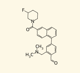 CN(C)Cc1cc(-c2cccc3cc(C(=O)N4CCCC(F)C4)ccc23)ccc1C=O